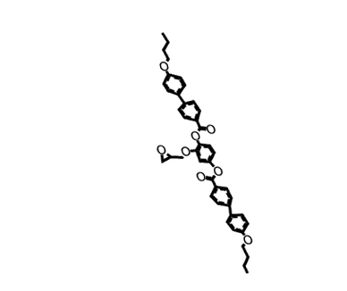 CCCCOc1ccc(-c2ccc(C(=O)Oc3ccc(OC(=O)c4ccc(-c5ccc(OCCCC)cc5)cc4)c(OCC4CO4)c3)cc2)cc1